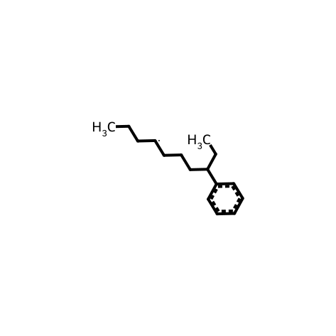 CCC[CH]CCCC(CC)c1ccccc1